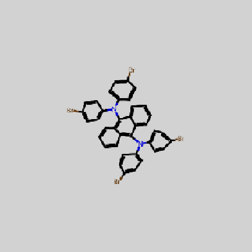 Brc1ccc(N(c2ccc(Br)cc2)c2c3ccccc3c(N(c3ccc(Br)cc3)c3ccc(Br)cc3)c3ccccc23)cc1